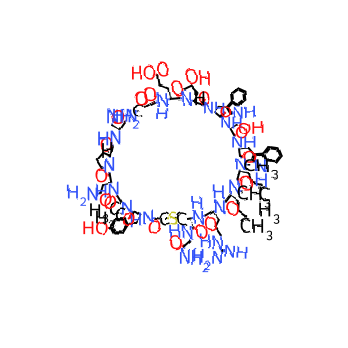 CCCC[C@H]1C(=O)N(C)[C@@H](CCCC)C(=O)N[C@@H](CCCNC(=N)N)C(=O)N[C@H](C(=O)NCC(N)=O)CSCC(=O)N[C@@H](Cc2ccc(O)cc2)C(=O)N(C)[C@@H](C)C(=O)N[C@@H](CC(N)=O)C(=O)N2CCC[C@H]2C(=O)N[C@@H](CN)C(=O)NCC(=O)C(=O)N[C@@H](CCC(=O)O)C(=O)N2C[C@H](O)C[C@H]2C(=O)N[C@@H](Cc2c[nH]c3ccccc23)C(=O)N[C@@H](CO)C(=O)N[C@@H](Cc2c[nH]c3ccccc23)C(=O)N1C